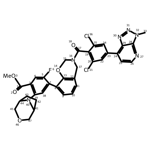 COC(=O)c1cc(F)c(-c2cccc3c2OCN(C(=O)c2c(Cl)cc(-c4ccnc5c4nnn5C)cc2Cl)C3)cc1N1C2CCC1COC2